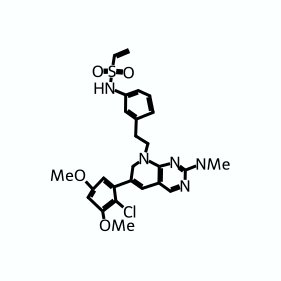 C=CS(=O)(=O)Nc1cccc(CCN2CC(c3cc(OC)cc(OC)c3Cl)=Cc3cnc(NC)nc32)c1